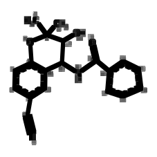 CC1(C)Oc2ccc(C#N)cc2C(NC(=O)c2ccccc2)C1O